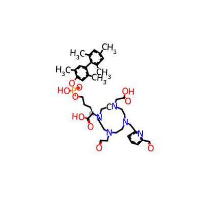 Cc1cc(C)c(-c2cc(C)c(OP(=O)(O)OCCC[C@H](C(=O)O)N3CCN(CC=O)CCN(Cc4cccc(C=O)n4)CCN(CC(=O)O)CC3)cc2C)c(C)c1